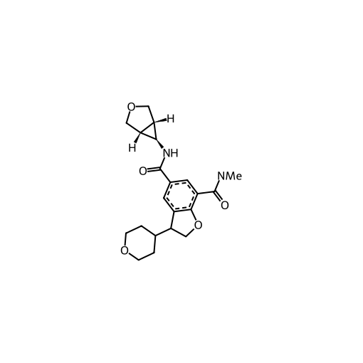 CNC(=O)c1cc(C(=O)N[C@H]2[C@@H]3COC[C@@H]32)cc2c1OCC2C1CCOCC1